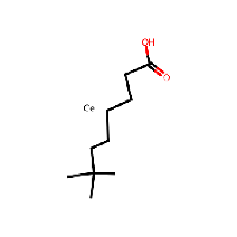 CC(C)(C)CCCCCC(=O)O.[Ce]